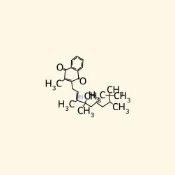 CC1=C(C/C=C(\C)C(C)(C)CCCC(C)C(C)(C)C)C(=O)c2ccccc2C1=O